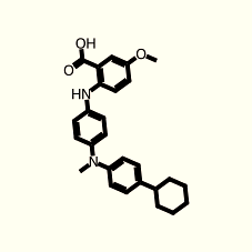 COc1ccc(Nc2ccc(N(C)c3ccc(C4CCCCC4)cc3)cc2)c(C(=O)O)c1